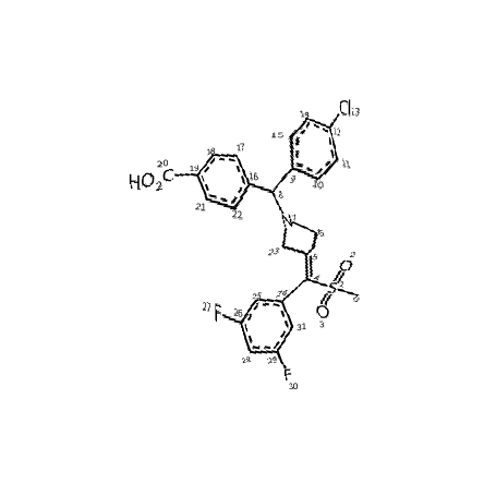 CS(=O)(=O)C(=C1CN(C(c2ccc(Cl)cc2)c2ccc(C(=O)O)cc2)C1)c1cc(F)cc(F)c1